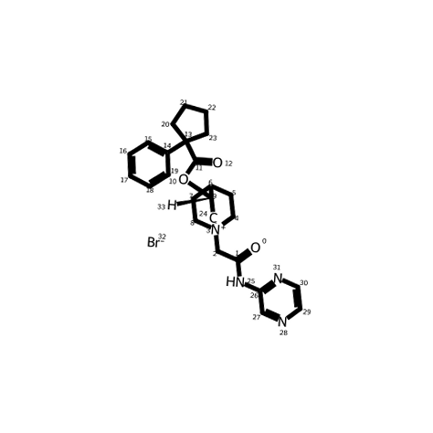 O=C(C[N+]12CCC(CC1)[C@@H](OC(=O)C1(c3ccccc3)CCCC1)C2)Nc1cnccn1.[Br-]